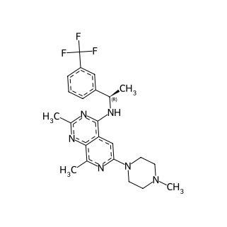 Cc1nc(N[C@H](C)c2cccc(C(F)(F)F)c2)c2cc(N3CCN(C)CC3)nc(C)c2n1